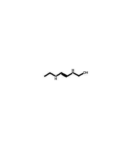 CCN/C=C/NCO